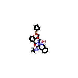 Cc1c(O)cccc1C(=O)NC1(C(=O)NC(C)(C)C)CC2CCCCC2C[N+]1(O)CCCCSc1ccccc1